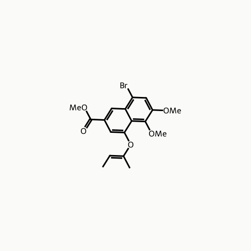 CC=C(C)Oc1cc(C(=O)OC)cc2c(Br)cc(OC)c(OC)c12